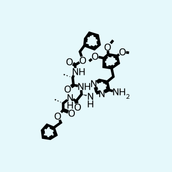 COc1cc(Cc2cnc(N[C@@H](NC(=O)[C@H](C)NC(=O)OCc3ccccc3)C(=O)N[C@@H](C)C(=O)OCc3ccccc3)nc2N)cc(OC)c1OC